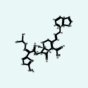 Nc1nc(/C(=N/OC(F)F)C(=O)N[C@@H]2C(=O)N3C(C(=O)O)=C(/C=C/C[n+]4cccc5ccsc54)CS[C@H]23)cs1